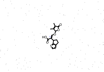 CC1=C(C)C(O/C=C(/C(=O)O)C2CCc3ccsc32)OC1=O